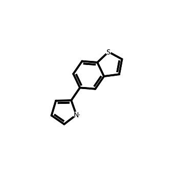 C1=C[N]C(c2ccc3sccc3c2)=C1